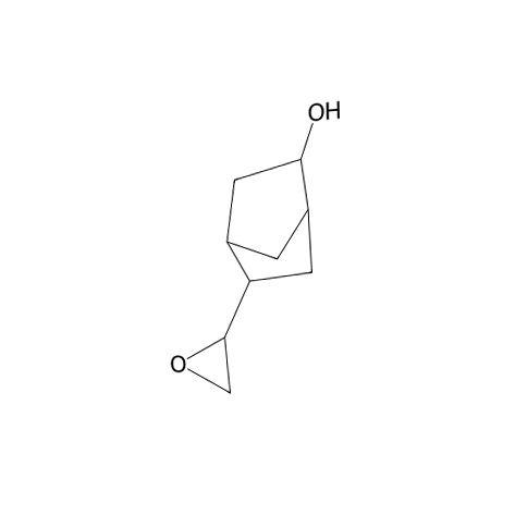 OC1CC2CC1CC2C1CO1